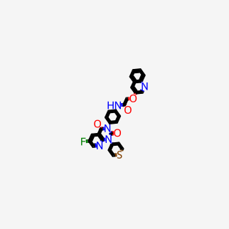 O=C(COc1cnc2ccccc2c1)N[C@H]1CC[C@@H](n2c(=O)c3cc(F)cnc3n(C3CCSCC3)c2=O)CC1